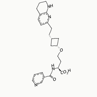 O=C(N[C@@H](CCO[C@H]1C[C@@H](CCc2ccc3c(n2)NCCC3)C1)C(=O)O)c1cccnc1